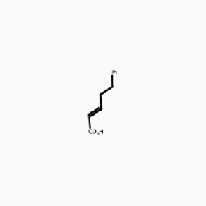 CC(C)CCC=CC(=O)O